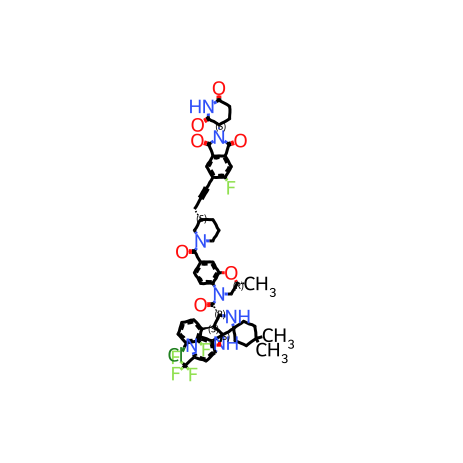 C[C@@H]1CN(C(=O)[C@@H]2NC3(CCC(C)(C)CC3)[C@@]3(CNc4cc(C(F)(F)F)ncc43)[C@H]2c2cccc(Cl)c2F)c2ccc(C(=O)N3CCC[C@@H](CC#Cc4cc5c(cc4F)C(=O)N([C@H]4CCC(=O)NC4=O)C5=O)C3)cc2O1